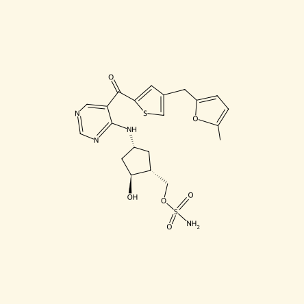 Cc1ccc(Cc2csc(C(=O)c3cncnc3N[C@@H]3C[C@H](COS(N)(=O)=O)[C@@H](O)C3)c2)o1